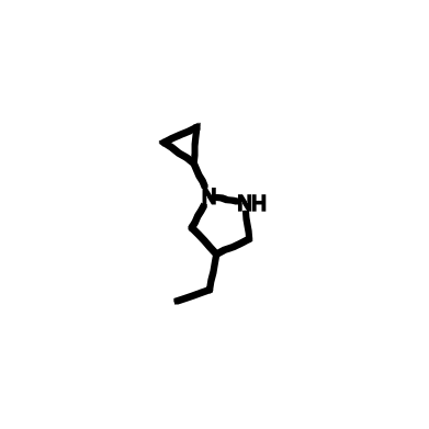 CCC1CNN(C2CC2)C1